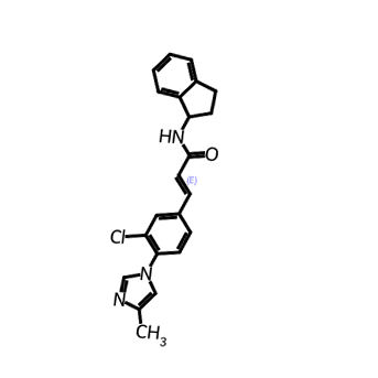 Cc1cn(-c2ccc(/C=C/C(=O)NC3CCc4ccccc43)cc2Cl)cn1